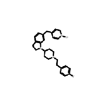 ON1C=CC(Cc2ccc3c(c2)N(C2CCN(CCc4ccc(F)cc4)CC2)CC3)=CC1